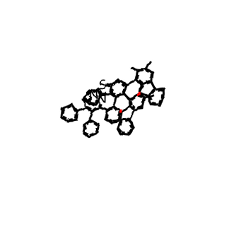 Cc1cc2c(c(-c3cc4sc5ccccc5c4c(-c4ccccc4-c4nnnc(-c5ccccc5)c4-c4ccccc4)c3-c3c(C)c(C)cc4c3Cc3ccccc3-4)c1C)Cc1ccccc1-2